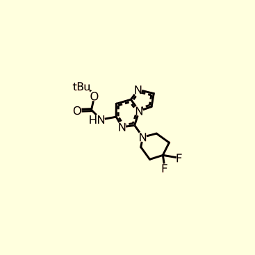 CC(C)(C)OC(=O)Nc1cc2nccn2c(N2CCC(F)(F)CC2)n1